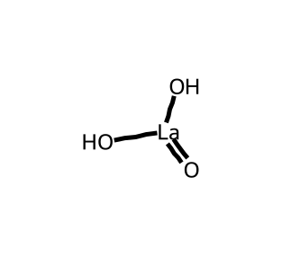 [O]=[La]([OH])[OH]